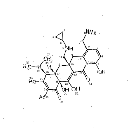 CNCc1ccc(O)c2c1C[C@@]1(CNC3CC3)C[C@H]3[C@H](N(C)C)C(O)=C(C(C)=O)C(=O)[C@@]3(O)C(O)=C1C2=O